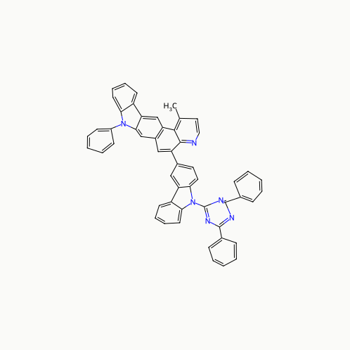 Cc1ccnc2c(-c3ccc4c(c3)c3ccccc3n4-c3nc(-c4ccccc4)nc(-c4ccccc4)n3)cc3cc4c(cc3c12)c1ccccc1n4-c1ccccc1